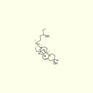 CCC(O)CC[C@@H](C)[C@H]1CC[C@H]2[C@@H]3CC=C4C[C@@](C)(O)CC[C@]4(C)[C@H]3CC[C@]12C